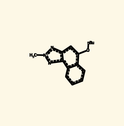 CCCCOc1cc2nn(C)nc2c2ccccc12